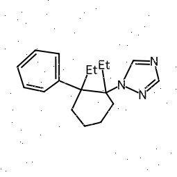 CCC1(c2ccccc2)CCCCC1(CC)n1cncn1